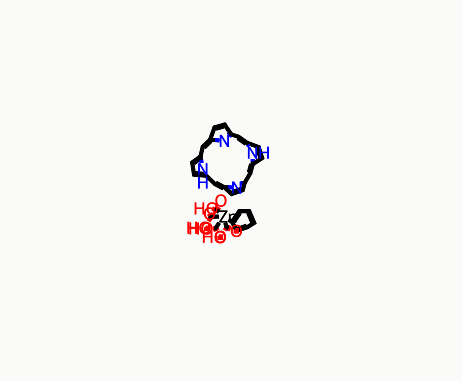 C1=Cc2cc3ccc(cc4nc(cc5ccc(cc1n2)[nH]5)C=C4)[nH]3.O=[C](O)[Zn]([C](=O)O)([C](=O)O)([C](=O)O)[c]1ccccc1